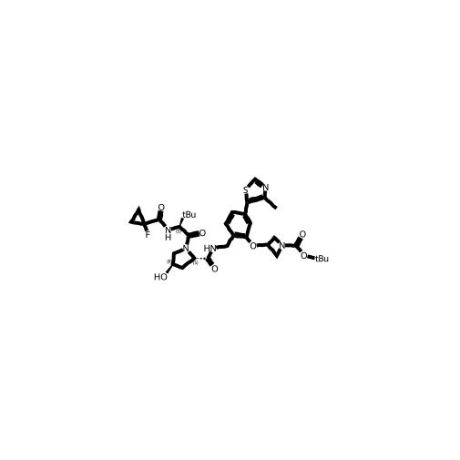 Cc1ncsc1-c1ccc(CNC(=O)[C@@H]2C[C@@H](O)CN2C(=O)[C@@H](NC(=O)C2(F)CC2)C(C)(C)C)c(OC2CN(C(=O)OC(C)(C)C)C2)c1